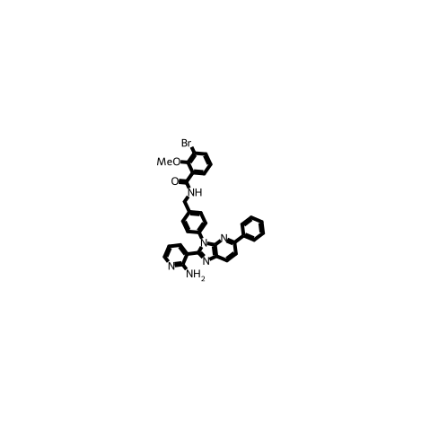 COc1c(Br)cccc1C(=O)NCc1ccc(-n2c(-c3cccnc3N)nc3ccc(-c4ccccc4)nc32)cc1